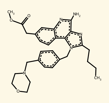 CCCCc1nc2c(N)nc3cc(CC(=O)OC)ccc3c2n1Cc1ccc(CN2CCOCC2)cc1